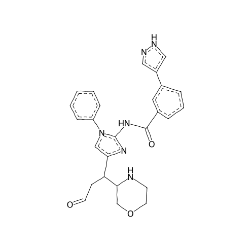 O=CCC(c1cn(-c2ccccc2)c(NC(=O)c2cccc(-c3cn[nH]c3)c2)n1)C1COCCN1